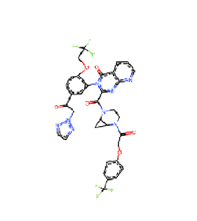 O=C(Cn1nccn1)c1ccc(OCC(F)(F)F)c(-n2c(C(=O)N3CCN(C(=O)COc4ccc(C(F)(F)F)cc4)C4CC43)nc3ncccc3c2=O)c1